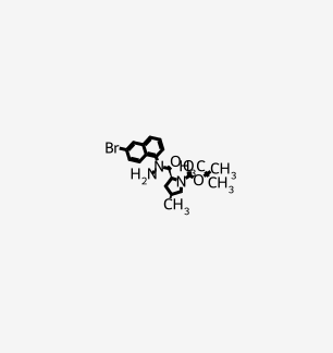 C[C@H]1C[C@@H](C(=O)N(N)c2cccc3cc(Br)ccc23)N(C(=O)OC(C)(C)C)C1